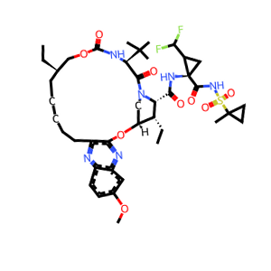 CC[C@@H]1CCCCCc2nc3ccc(OC)cc3nc2O[C@H]2CN(C(=O)[C@H](C(C)(C)C)NC(=O)OC1)[C@H](C(=O)N[C@]1(C(=O)NS(=O)(=O)C3(C)CC3)CC1C(F)F)[C@@H]2CC